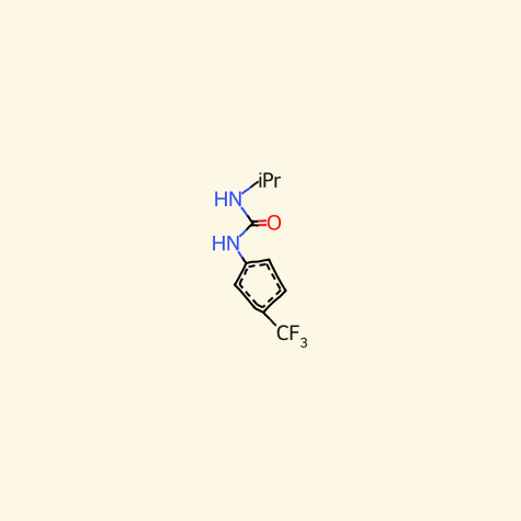 CC(C)NC(=O)Nc1ccc(C(F)(F)F)cc1